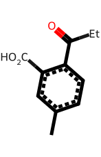 CCC(=O)c1ccc(C)cc1C(=O)O